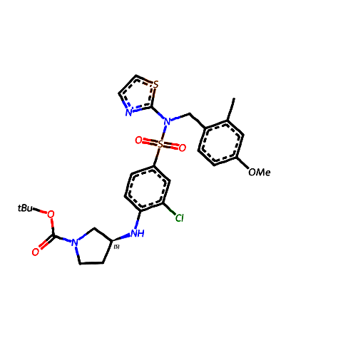 COc1ccc(CN(c2nccs2)S(=O)(=O)c2ccc(N[C@H]3CCN(C(=O)OC(C)(C)C)C3)c(Cl)c2)c(C)c1